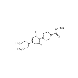 CC(C)(C)OC(=O)N1CCN(c2c(F)cc(C(CC(=O)O)CC(=O)O)cc2F)CC1